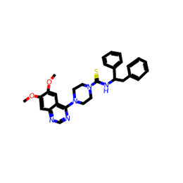 COc1cc2ncnc(N3CCN(C(=S)NC(Cc4ccccc4)c4ccccc4)CC3)c2cc1OC